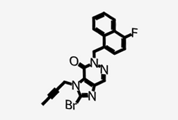 CC#CCn1c(Br)nc2cnn(Cc3ccc(F)c4ccccc34)c(=O)c21